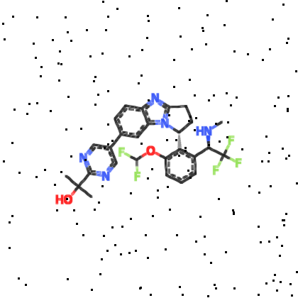 CN[C@H](c1cccc(OC(F)F)c1[C@H]1CCc2nc3ccc(-c4cnc(C(C)(C)O)nc4)cc3n21)C(F)(F)F